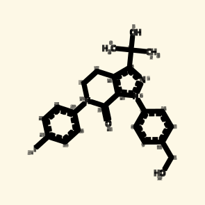 CC(C)(O)c1nn(-c2ccc(CO)cc2)c2c1CCN(c1ccc(I)cc1)C2=O